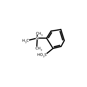 C[Si](C)(C)c1ccccc1S(=O)(=O)O